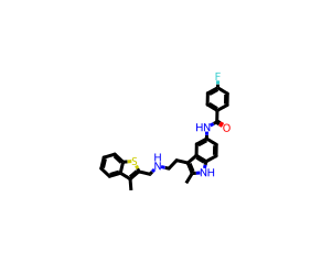 Cc1[nH]c2ccc(NC(=O)c3ccc(F)cc3)cc2c1CCNCc1sc2ccccc2c1C